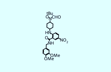 COc1ccc(CNC(=O)c2cc([N+](=O)[O-])ccc2NC2CCC(N(C=O)OC(C)(C)C)CC2)cc1OC